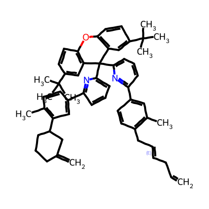 C=CC/C=C/Cc1ccc(-c2cccc(C3(c4cccc(-c5ccc(C)c(C6CCCC(=C)C6)c5)n4)c4cc(C(C)(C)C)ccc4Oc4ccc(C(C)(C)C)cc43)n2)cc1C